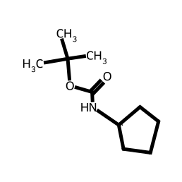 CC(C)(C)OC(=O)N[C]1CCCC1